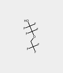 OC(F)(F)C(F)(F)OCC(F)(F)F